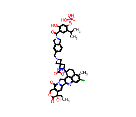 CC[C@@]1(O)C(=O)OCc2c1cc1n(c2=O)Cc2c-1nc1cc(F)c(C)c3c1c2[C@@](OC(N)=O)(C1CC2(C1)CN(Cc1ccc4c(c1)CN(C(=O)c1cc(C(C)C)c(OP(=O)(O)O)cc1O)C4)C2)CC3